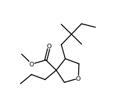 CCCC1(C(=O)OC)COCC1CC(C)(C)CC